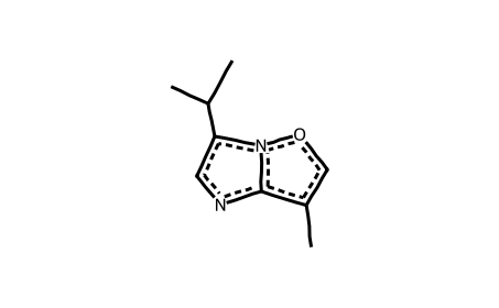 Cc1con2c(C(C)C)cnc12